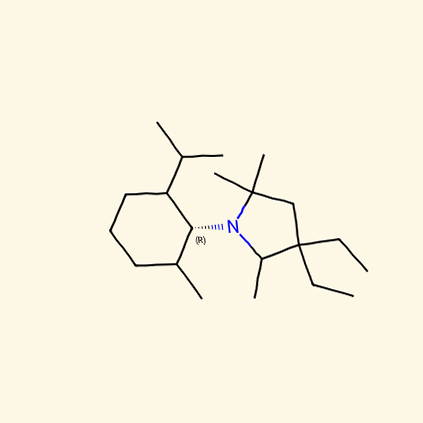 CCC1(CC)CC(C)(C)N([C@@H]2C(C)CCCC2C(C)C)C1C